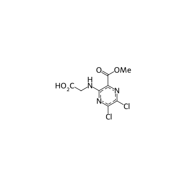 COC(=O)c1nc(Cl)c(Cl)nc1NCC(=O)O